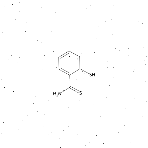 NC(=S)c1ccccc1S